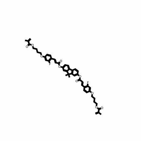 C=C(C)C(=O)OCCCCOc1ccc(C=CC(=O)Oc2ccc3c(c2)C(C)(C)c2cc(OC(=O)C=Cc4ccc(OCCCCOC(=O)C(=C)C)cc4F)ccc2-3)c(F)c1